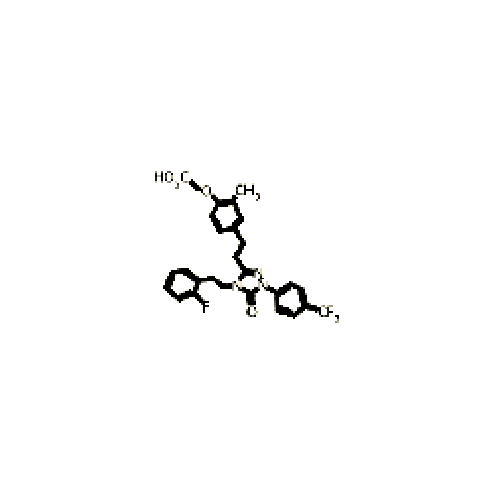 Cc1cc(CCc2nn(-c3ccc(C(F)(F)F)cc3)c(=O)n2CCc2ccccc2F)ccc1OCC(=O)O